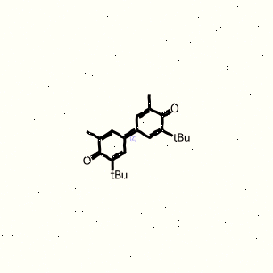 CC1=C/C(=C2\C=C(C)C(=O)C(C(C)(C)C)=C2)C=C(C(C)(C)C)C1=O